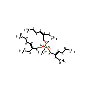 CCCC=C(CC)CO[Si](C)(OCC(=CCCC)CC)OCC(=CCCC)CC